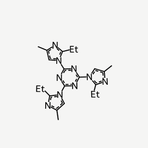 CCc1nc(C)cn1-c1nc(-n2cc(C)nc2CC)nc(-n2cc(C)nc2CC)n1